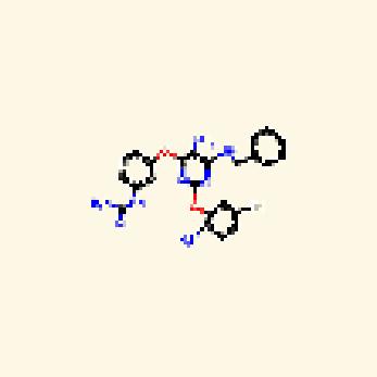 N#Cc1ccc(N)c(Oc2nc(NCc3ccccc3)c(N)c(Oc3cccc(NC(=N)N)c3)n2)c1